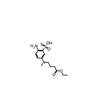 CCOC(=O)CCCN(C)c1ccc(N)c(S(=O)(O)=S)c1